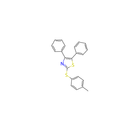 Cc1ccc(Sc2nc(-c3ccccc3)c(-c3ccccc3)s2)cc1